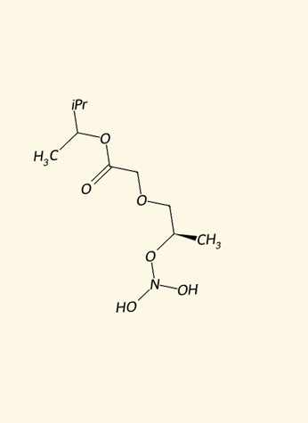 CC(C)C(C)OC(=O)COC[C@@H](C)ON(O)O